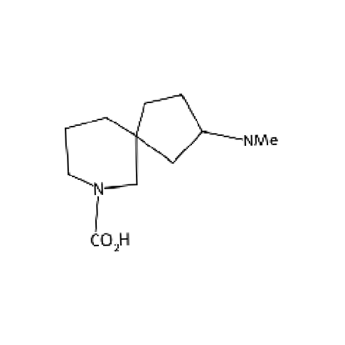 CNC1CCC2(CCCN(C(=O)O)C2)C1